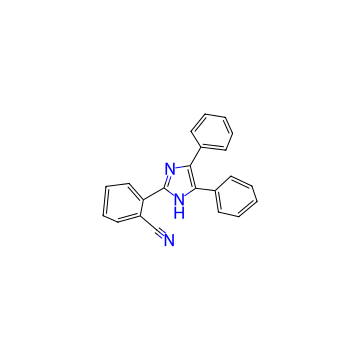 N#Cc1ccccc1-c1nc(-c2ccccc2)c(-c2ccccc2)[nH]1